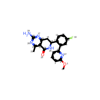 COc1cccc(-c2cc(F)ccc2C2Cc3nc(N)nc(C)c3C(=O)N2)n1